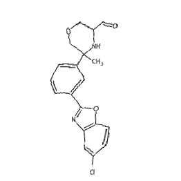 CC1(c2cccc(-c3nc4cc(Cl)ccc4o3)c2)COCC(C=O)N1